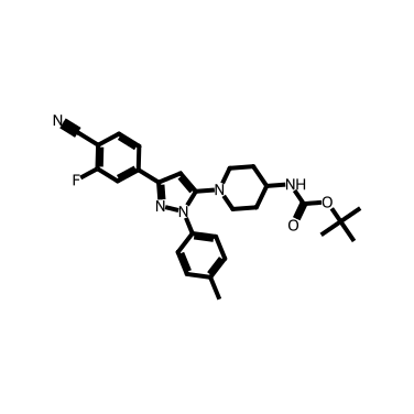 Cc1ccc(-n2nc(-c3ccc(C#N)c(F)c3)cc2N2CCC(NC(=O)OC(C)(C)C)CC2)cc1